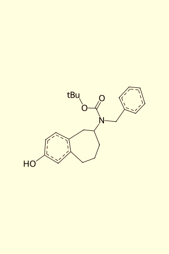 CC(C)(C)OC(=O)N(Cc1ccccc1)C1CCCc2cc(O)ccc2C1